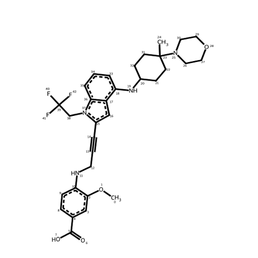 COc1cc(C(=O)O)ccc1NCC#Cc1cc2c(NC3CCC(C)(N4CCOCC4)CC3)cccc2n1CC(F)(F)F